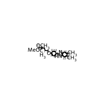 COC(=O)C(C)(C)CCCOc1ccc(-c2nc3cc(C)c(C)cc3[nH]2)cc1